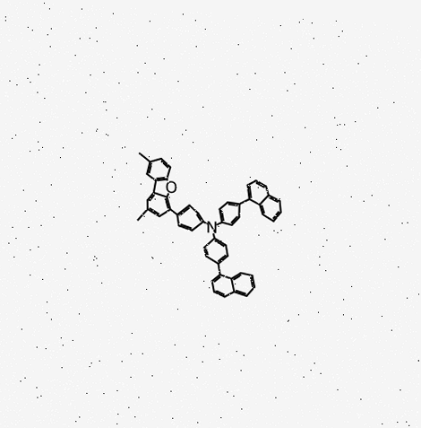 Cc1ccc2oc3c(-c4ccc(N(c5ccc(-c6cccc7ccccc67)cc5)c5ccc(-c6cccc7ccccc67)cc5)cc4)cc(C)cc3c2c1